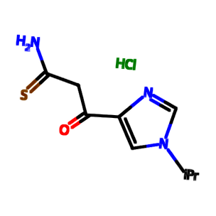 CC(C)n1cnc(C(=O)CC(N)=S)c1.Cl